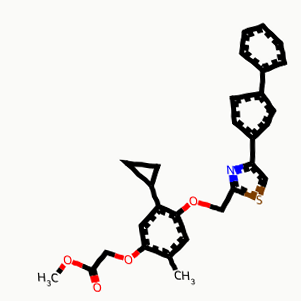 COC(=O)COc1cc(C2CC2)c(OCc2nc(-c3ccc(-c4ccccc4)cc3)cs2)cc1C